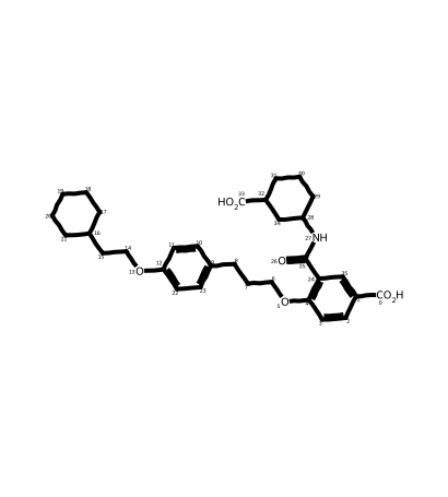 O=C(O)c1ccc(OCCCc2ccc(OCCC3CCCCC3)cc2)c(C(=O)NC2CCCC(C(=O)O)C2)c1